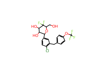 OCC1OC(c2ccc(Cl)c(Cc3ccc(OC(F)(F)F)cc3)c2)C(O)C(O)C1(F)F